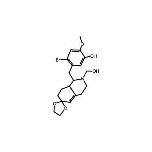 COc1cc(Br)c(CC2C3CCC4(C=C3CCN2CO)OCCO4)cc1O